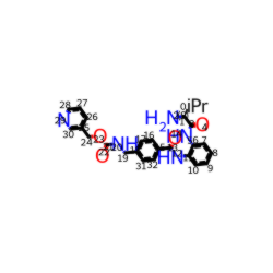 CC(C)[C@H](N)C(=O)Nc1ccccc1NC(=O)c1ccc(CNC(=O)OCc2cccnc2)cc1